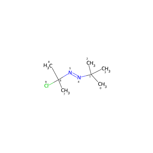 CC(C)(C)N=NC(C)(C)Cl